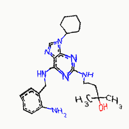 CC(C)(O)CCNc1nc(NCc2ccccc2N)c2ncn(C3CCCCC3)c2n1